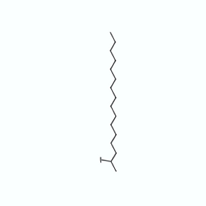 CCCCCCCCCCCCCCC(C)I